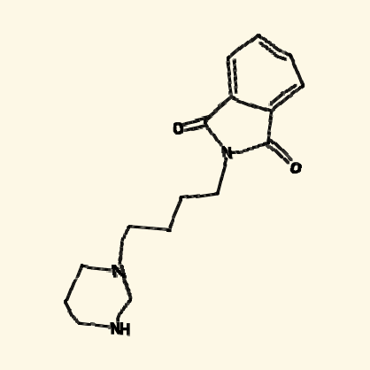 O=C1c2ccccc2C(=O)N1CCCCN1CCCNC1